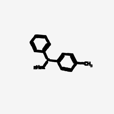 CCCCCCP(c1ccccc1)c1ccc(C)cc1